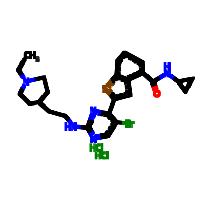 CCN1CCC(CCNc2ncc(Br)c(-c3cc4c(C(=O)NC5CC5)cccc4s3)n2)CC1.Cl.Cl